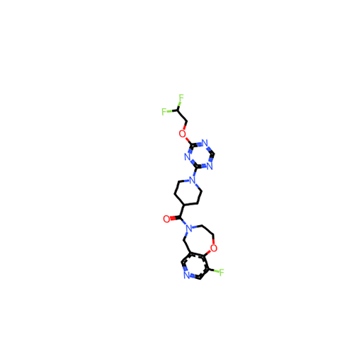 O=C(C1CCN(c2ncnc(OCC(F)F)n2)CC1)N1CCOc2c(F)cncc2C1